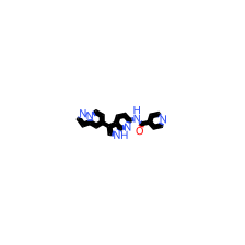 O=C(Nc1ccc2c(-c3ccn4nccc4c3)c[nH]c2n1)c1ccncc1